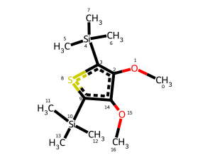 COc1c([Si](C)(C)C)sc([Si](C)(C)C)c1OC